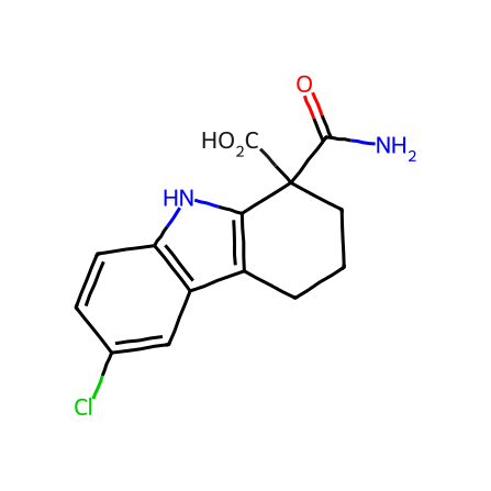 NC(=O)C1(C(=O)O)CCCc2c1[nH]c1ccc(Cl)cc21